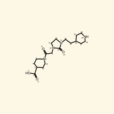 O=C(O)C1CCN(C(=O)CN2CCN(CCC3CCNCC3)C2=O)CC1